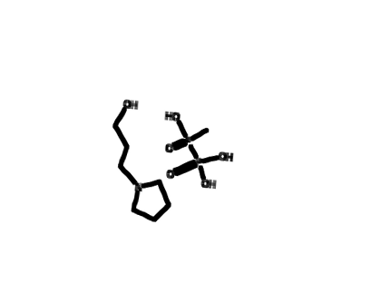 CP(=O)(O)P(=O)(O)O.OCCCN1CCCC1